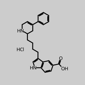 Cl.O=C(O)c1ccc2[nH]cc(CCCCC3CC(c4ccccc4)=CCN3)c2c1